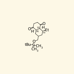 CC[C@H]1CC(CO[Si](C)(C)C(C)(C)C)C[C@H]2C(=O)CCC(=O)[C@@H]12